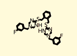 Fc1cccc(CN2CN=C(SCc3ccccc3CSC3=NCN(Cc4cccc(F)c4)CN3)NC2)c1